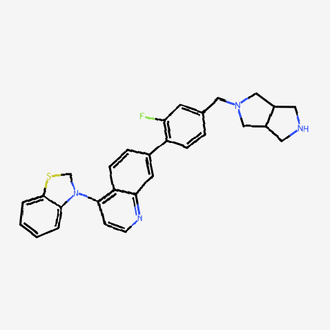 Fc1cc(CN2CC3CNCC3C2)ccc1-c1ccc2c(N3CSc4ccccc43)ccnc2c1